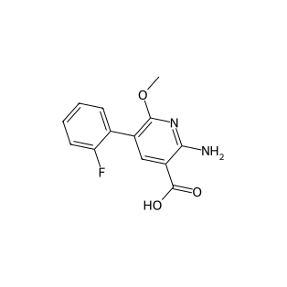 COc1nc(N)c(C(=O)O)cc1-c1ccccc1F